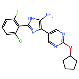 Nc1[nH]c(-c2c(F)cccc2Cl)nc1-c1cnc(OC2CCCC2)nc1